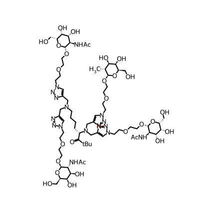 CC(=O)N[C@H]1[C@H](OCCOCCn2cc(CN(CCCC[C@@H](C(=O)C(C)(C)C)N(Cc3cn(CCOCCO[C@@H]4O[C@H](CO)[C@H](O)[C@H](O)[C@H]4C)nn3)Cc3cn(CCOCCO[C@@H]4O[C@H](CO)[C@H](O)[C@H](O)[C@H]4NC(C)=O)nn3)Cc3cn(CCOCCO[C@@H]4O[C@H](CO)[C@H](O)[C@H](O)[C@H]4NC(C)=O)nn3)nn2)O[C@H](CO)[C@H](O)[C@@H]1O